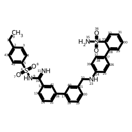 CCc1ccc(S(=O)(=O)NC(=N)c2cccc(-c3cccc(CNc4ccc(-c5ccccc5S(N)(=O)=O)cc4)c3)c2)cc1